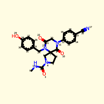 CNC(=O)N1CCC2(C1)C(=O)N(c1ccc(C#N)cc1)CC(=O)N2Cc1ccc(O)cc1